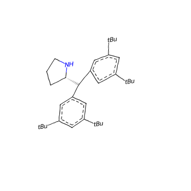 CC(C)(C)c1cc(C(c2cc(C(C)(C)C)cc(C(C)(C)C)c2)[C@@H]2CCCN2)cc(C(C)(C)C)c1